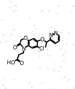 CC(Oc1cc2c(cc1Cl)N(CCC(=O)O)C(=O)CO2)c1cccnn1